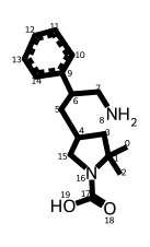 CC1(C)CC(CC(CN)c2ccccc2)CN1C(=O)O